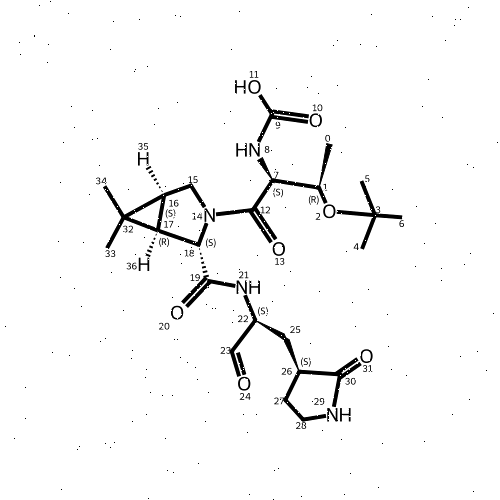 C[C@@H](OC(C)(C)C)[C@H](NC(=O)O)C(=O)N1C[C@H]2[C@@H]([C@H]1C(=O)N[C@H](C=O)C[C@@H]1CCNC1=O)C2(C)C